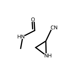 CNC=O.N#CC1CN1